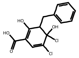 O=C(O)C1=C(O)C(Cc2ccccc2)C(O)(Cl)C(Cl)=C1